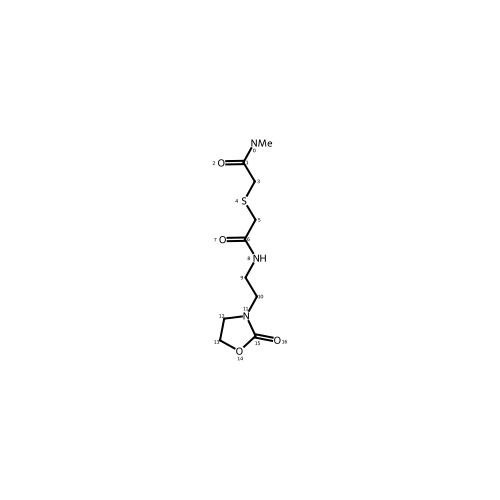 CNC(=O)CSCC(=O)NCCN1CCOC1=O